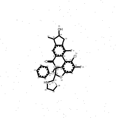 CNC(=O)c1cc2c(c(F)c1-c1c(Cl)c(F)cc3c1C[C@](c1ccccc1)([C@@H]1CCCN1)O3)CC(O)C2C